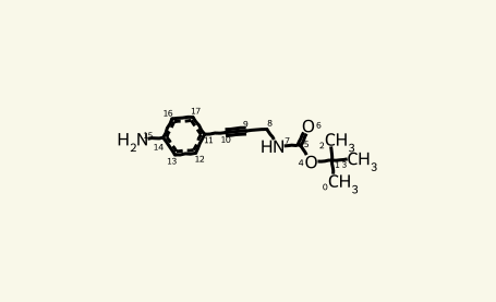 CC(C)(C)OC(=O)NCC#Cc1ccc(N)cc1